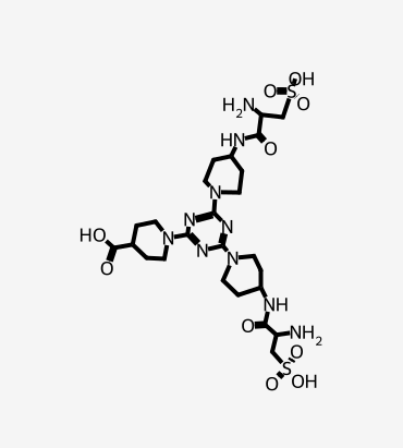 NC(CS(=O)(=O)O)C(=O)NC1CCN(c2nc(N3CCC(NC(=O)C(N)CS(=O)(=O)O)CC3)nc(N3CCC(C(=O)O)CC3)n2)CC1